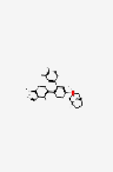 Cn1ncc2c(F)c(-c3ccc(C(=O)N4[C@@H]5CC[C@H]4C[C@H](N)C5)cc3-c3ccc(C#N)c(F)c3)ccc21